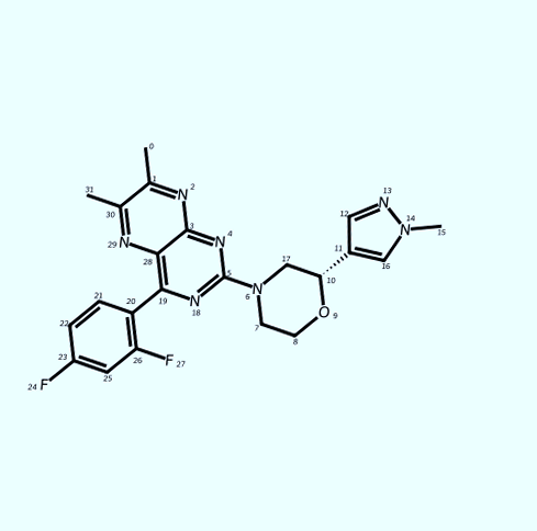 Cc1nc2nc(N3CCO[C@@H](c4cnn(C)c4)C3)nc(-c3ccc(F)cc3F)c2nc1C